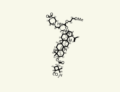 C=C(C)[C@@H]1CC[C@]2(NC[C@H](CN3CCS(=O)(=O)CC3)NC(=O)OCCOC)CC[C@]3(C)[C@H](CC[C@@H]4[C@@]5(C)CC[C@H](OC(=O)[C@H]6C[C@@H](C(=O)O)C6(C)C)C(C)(C)[C@@H]5CC[C@]43C)[C@@H]12